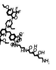 CCOc1ccc(C(=O)N2CCN(c3ccc(-c4cccnc4OCC)nc3Cc3ccc(S(=O)(=O)NCCCNC(=O)C[C@H](O)C[C@H](O)CCN)c([N+](=O)[O-])c3)[C@H](CC)C2)c(C(F)(F)F)n1